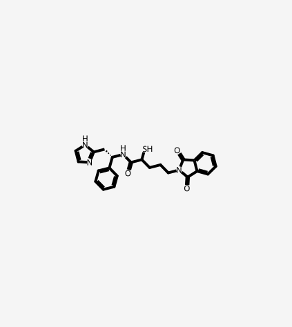 O=C(N[C@@H](Cc1ncc[nH]1)c1ccccc1)C(S)CCCN1C(=O)c2ccccc2C1=O